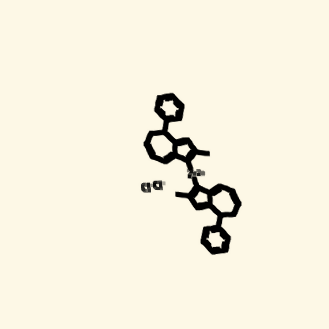 CC1=[C]([Zr+2][C]2=C(C)C=C3C2=CC=CCC3c2ccccc2)C2=CC=CCC(c3ccccc3)C2=C1.[Cl-].[Cl-]